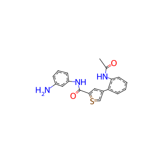 CC(=O)Nc1ccccc1-c1csc(C(=O)Nc2cccc(N)c2)c1